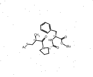 CC(=O)SC[C@@H](C)C(=O)N1CCC[C@H]1C(=O)N[C@@H](Cc1ccccc1)C(=O)OC(C)(C)C